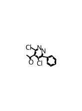 CC(=O)c1c(Cl)nnc(-c2ccccc2)c1Cl